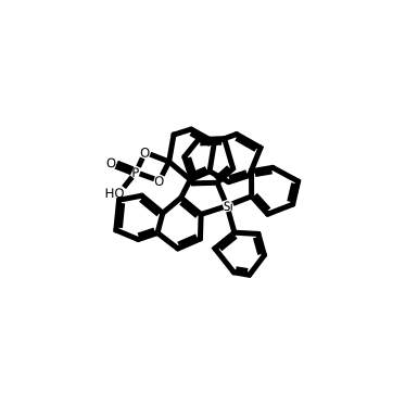 O=P1(O)OC2(CC=c3ccccc3=C2c2c([Si](c3ccccc3)(c3ccccc3)c3ccccc3)ccc3ccccc23)O1